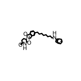 O=C1CCC(N2Cc3cc(CCCCCCCCNC45CC6CC(CC4C6)C5)ccc3C2=O)C(=O)N1